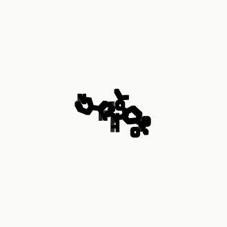 CC(C)Oc1ccc(S(C)(=O)=O)cc1Nc1nc(C2C=NC=CC2)cs1